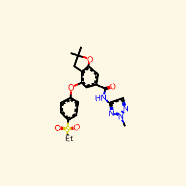 CCS(=O)(=O)c1ccc(Oc2cc(C(=O)Nc3cnn(C)n3)cc3c2CC(C)(C)O3)cc1